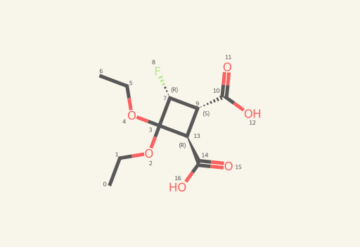 CCOC1(OCC)[C@H](F)[C@H](C(=O)O)[C@H]1C(=O)O